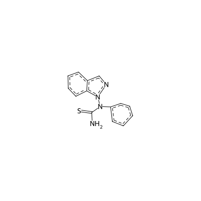 NC(=S)N(c1ccccc1)n1ncc2ccccc21